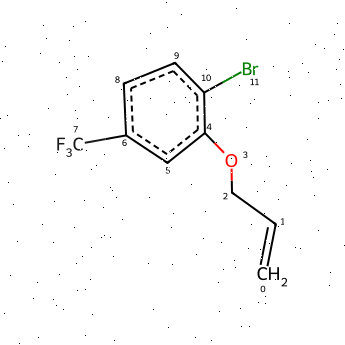 C=CCOc1cc(C(F)(F)F)ccc1Br